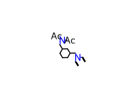 C=CN(C=C)CC1CCCC(CN(C(C)=O)C(C)=O)C1